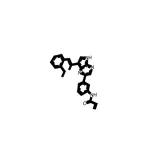 C=CC(=O)Nc1cccc(-c2cnc3[nH]cc(/C(C)=C/c4ccccc4CC)c3n2)c1